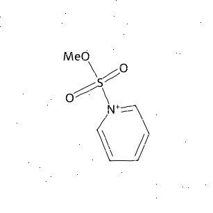 COS(=O)(=O)[n+]1ccccc1